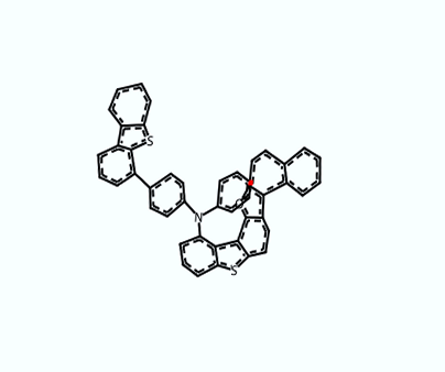 c1ccc(N(c2ccc(-c3cccc4c3sc3ccccc34)cc2)c2cccc3sc4ccc5c(oc6ccc7ccccc7c65)c4c23)cc1